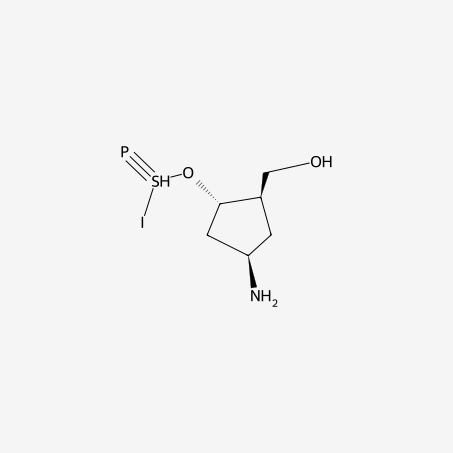 N[C@@H]1C[C@H](CO)[C@@H](O[SH](#P)I)C1